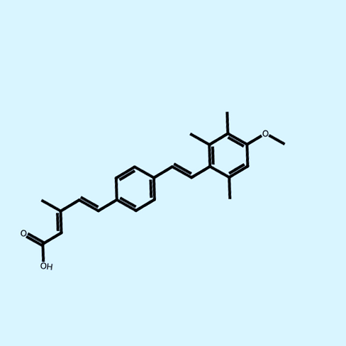 COc1cc(C)c(C=Cc2ccc(C=CC(C)=CC(=O)O)cc2)c(C)c1C